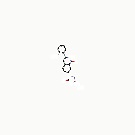 CCCc1ccccc1-c1cc2ccc(N3C[C@H](CO)OC3=O)cc2c(=O)[nH]1